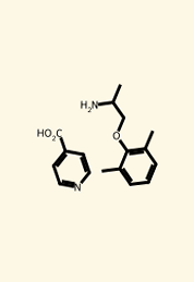 Cc1cccc(C)c1OCC(C)N.O=C(O)c1ccncc1